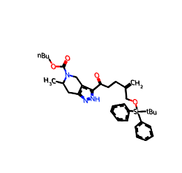 C=C(CCC(=O)c1[nH]nc2c1CN(C(=O)OCCCC)C(C)C2)CO[Si](c1ccccc1)(c1ccccc1)C(C)(C)C